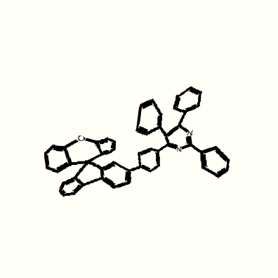 c1ccc(-c2nc(-c3ccccc3)c(-c3ccccc3)c(-c3ccc(-c4ccc5c(c4)C4(c6ccccc6Oc6ccccc64)c4ccccc4-5)cc3)n2)cc1